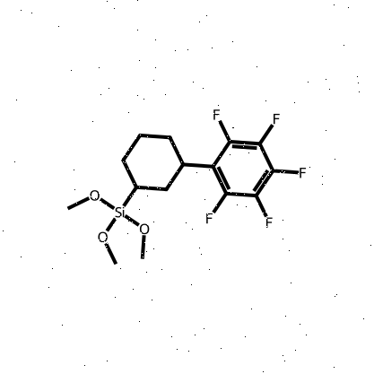 CO[Si](OC)(OC)C1CCCC(c2c(F)c(F)c(F)c(F)c2F)C1